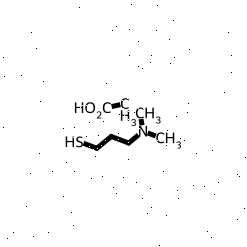 CC(=O)O.CN(C)CCCS